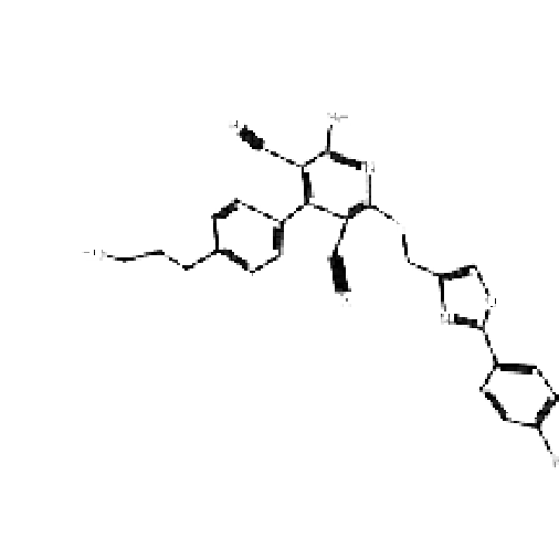 N#Cc1c(N)nc(SCc2coc(-c3ccc(F)cc3)n2)c(C#N)c1-c1ccc(CCCO)cc1